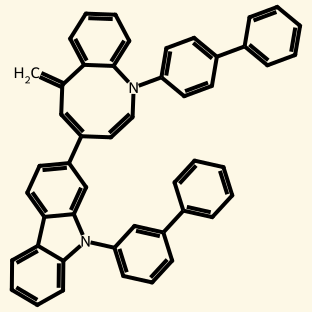 C=C1/C=C(c2ccc3c4ccccc4n(-c4cccc(-c5ccccc5)c4)c3c2)\C=C/N(c2ccc(-c3ccccc3)cc2)c2ccccc21